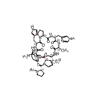 CC(=O)N1CCC[C@H]1C(=O)N1CCC[C@H]1C(=O)N1CCC[C@H]1C(=O)N[C@@H](Cc1c[nH]cn1)C(=O)N1CCC[C@H]1C(=O)N[C@@H](Cc1c[nH]cn1)C(=O)N[C@@H](C)C(=O)N[C@@H](CCCNC(=N)N)C(=O)O